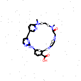 CN1CCCN(C)c2ccc(cn2)-c2ccnc(n2)Nc2ccc(C(=O)O)c(c2)CN2CCN(CC2)CC1=O